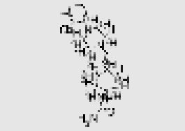 [2H]C1([2H])N(CC[C@]2([2H])C([2H])([2H])C([2H])([2H])[C@@]([2H])(NC(N)=O)C([2H])([2H])C2([2H])[2H])C([2H])([2H])C([2H])([2H])N(c2cccc(C)c2Cl)C1([2H])[2H]